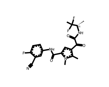 Cc1c(C(=O)C(=O)N[C@@H](C)C(C)(F)F)cc(C(=O)Nc2ccc(F)c(C#N)c2)n1C